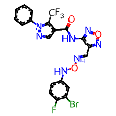 O=C(Nc1nonc1/C=N/ONc1ccc(F)c(Br)c1)c1cnn(-c2ccccc2)c1C(F)(F)F